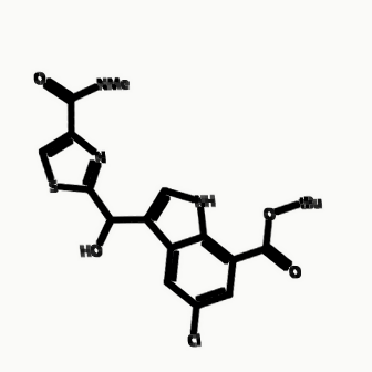 CNC(=O)c1csc(C(O)c2c[nH]c3c(C(=O)OC(C)(C)C)cc(Cl)cc23)n1